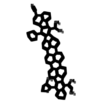 C=C(C)c1c2c3cccc4c(C#N)ccc(c2c(-c2ccccc2)c2c5ccc6c7ccc8c9ccc%10c%11c(ccc(c%12ccc(c%13ccc(c12)c5c%136)c7c%128)c%119)-c1c-%10c(-c2sccc2C)c2ccccc2c1/C(C)=C\C)c43